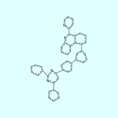 c1ccc(-c2cc(-c3ccc(-c4cccc(-c5cccc6c(-c7ccccn7)nc7ccccc7c56)c4)cc3)nc(-c3ccccc3)n2)cc1